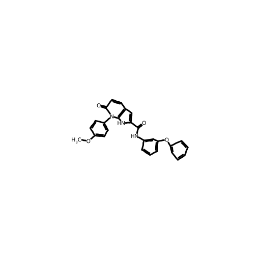 COc1ccc(-n2c(=O)ccc3cc(C(=O)Nc4cccc(Oc5ccccc5)c4)[nH]c32)cc1